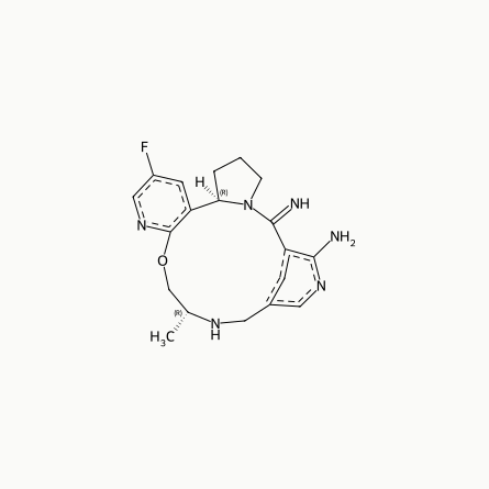 C[C@@H]1COc2ncc(F)cc2[C@H]2CCCN2C(=N)c2cc(cnc2N)CN1